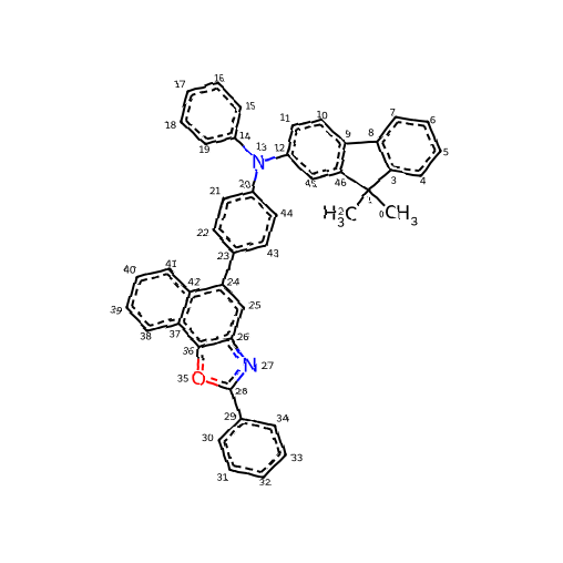 CC1(C)c2ccccc2-c2ccc(N(c3ccccc3)c3ccc(-c4cc5nc(-c6ccccc6)oc5c5ccccc45)cc3)cc21